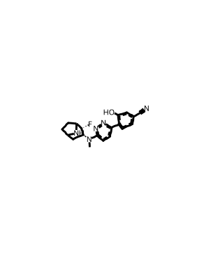 CN(c1ccc(-c2ccc(C#N)cc2O)nn1)[C@@H]1CC2CCC(N2)[C@@H]1F